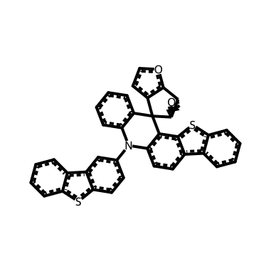 c1ccc2c(c1)N(c1ccc3sc4ccccc4c3c1)c1ccc3c(sc4ccccc43)c1C21c2ccoc2-c2occc21